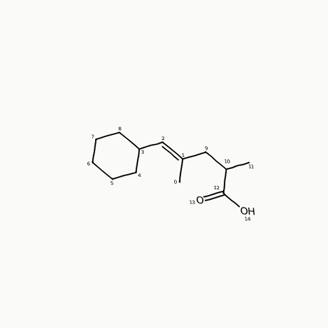 C/C(=C\C1CCCCC1)CC(C)C(=O)O